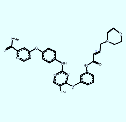 CNC(=O)c1cc(Oc2ccc(Nc3ncc(SC)c(Nc4cccc(NC(=O)/C=C/CN5CCOCC5)c4)n3)cc2)ccn1